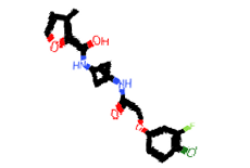 Cc1ccoc1C(O)NC12CC(NC(=O)COc3ccc(Cl)c(F)c3)(C1)C2